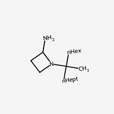 CCCCCCCC(C)(CCCCCC)N1CCC1N